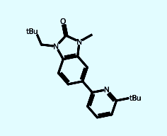 Cn1c(=O)n(CC(C)(C)C)c2ccc(-c3cccc(C(C)(C)C)n3)cc21